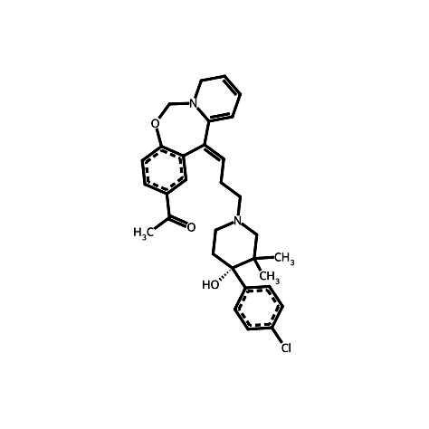 CC(=O)c1ccc2c(c1)C(=CCCN1CC[C@](O)(c3ccc(Cl)cc3)C(C)(C)C1)C1=CC=CCN1CO2